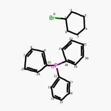 BrC1CCCCC1.c1ccc(P(c2ccccc2)c2ccccc2)cc1